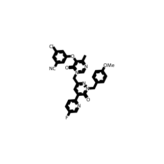 COc1ccc(Cn2nc(Cn3cnc(C)c(Oc4cc(Cl)cc(C#N)c4)c3=O)cc(-c3ccc(F)cn3)c2=O)cc1